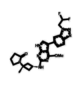 COc1nc(N[C@H]2C[C@@](C)(N3CCCC3=O)C2)nc2[nH]cc(-c3ccc4nnn(CC(F)F)c4c3)c12